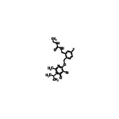 CCNC(=O)NCc1cc(F)ccc1COc1nc(C)n(C(C)C)c(=O)c1Br